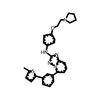 Cc1ccc(-c2cccc(-c3cccc4nc(Nc5ccc(OCCN6CCCC6)cc5)nn34)c2)s1